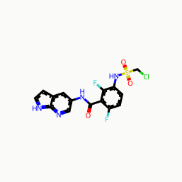 O=C(Nc1cnc2[nH]ccc2c1)c1c(F)ccc(NS(=O)(=O)CCl)c1F